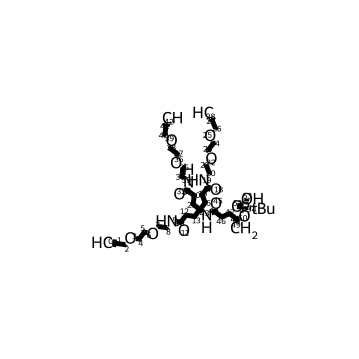 C#CCOCCOCCNC(=O)CCC(CCC(=O)NCCOCCOCC#C)(CCC(=O)NCCOCCOCC#C)NC(=O)CCC(=C)OP(=O)(O)C(C)(C)C